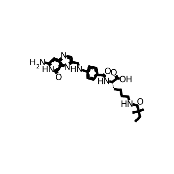 CCC(C)(C)C(=O)NCCCC[C@H](NC(=O)c1ccc(NCc2cnc3cc(N)[nH]c(=O)c3n2)cc1)C(=O)O